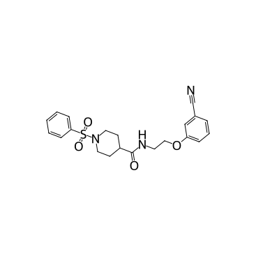 N#Cc1cccc(OCCNC(=O)C2CCN(S(=O)(=O)c3ccccc3)CC2)c1